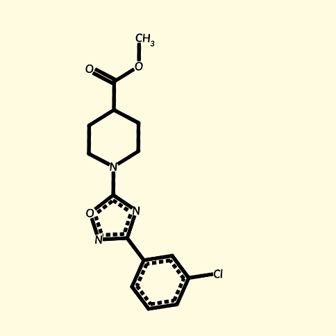 COC(=O)C1CCN(c2nc(-c3cccc(Cl)c3)no2)CC1